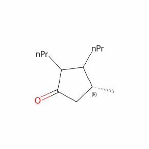 CCCC1C(=O)C[C@@H](C)C1CCC